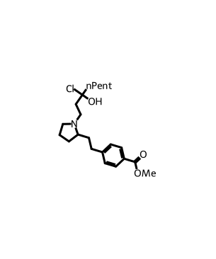 CCCCCC(O)(Cl)CCN1CCCC1CCc1ccc(C(=O)OC)cc1